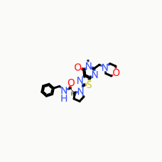 Cn1c(CN2CCOCC2)nc2sc(N3CCC[C@@H]3C(=O)NCc3ccccc3)nc2c1=O